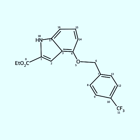 CCOC(=O)c1cc2c(OCc3ccc(C(F)(F)F)cc3)cccc2[nH]1